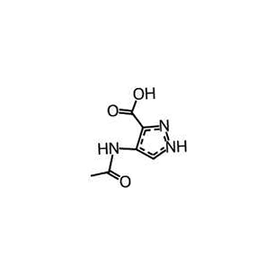 CC(=O)Nc1c[nH]nc1C(=O)O